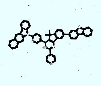 CC1(C)C2=C(N=C(c3ccncc3)NC2c2ccc(-n3c4ccccc4c4cc5ccccc5cc43)nc2)c2cc(-c3ccc4c(c3)sc3ccccc34)ccc21